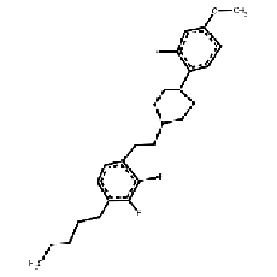 CCCCCc1ccc(CCC2CCC(c3ccc(OC)cc3F)CC2)c(F)c1F